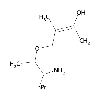 CCCC(N)C(C)OC/C(C)=C(\C)O